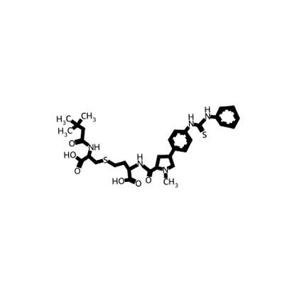 CN1CC(c2ccc(NC(=S)Nc3ccccc3)cc2)CC1C(=O)NC(CCSCC(NC(=O)CC(C)(C)C)C(=O)O)C(=O)O